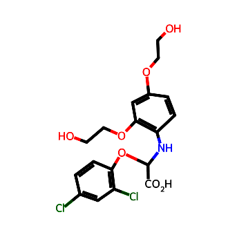 O=C(O)C(Nc1ccc(OCCO)cc1OCCO)Oc1ccc(Cl)cc1Cl